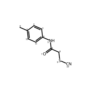 Cc1ccc(NC(=O)CSC#N)cc1